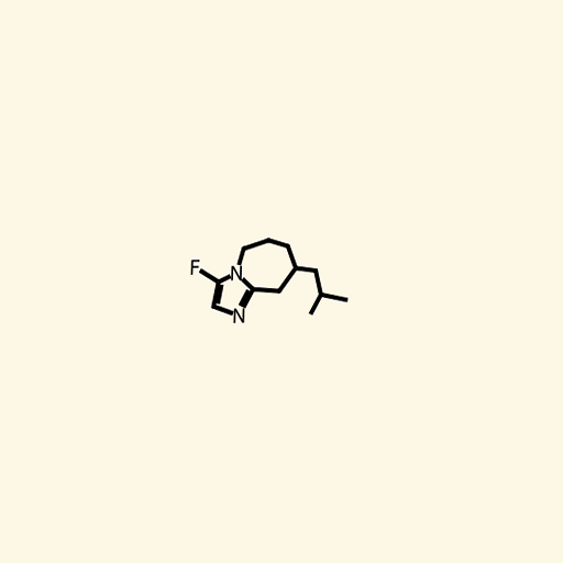 CC(C)CC1CCCn2c(F)cnc2C1